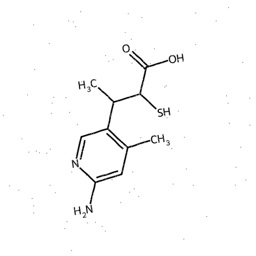 Cc1cc(N)ncc1C(C)C(S)C(=O)O